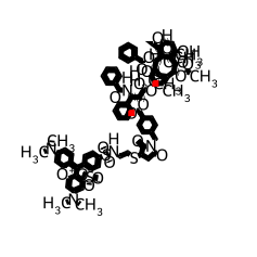 CC(=O)O[C@@H]1C(=O)[C@@]2(C)[C@H](O)C[C@@H]3OC[C@]3(OC(C)=O)[C@@H]2[C@@H](OC(=O)c2ccccc2)[C@@]2(O)C[C@@H](OC(=O)[C@@H](OC(=O)C3CCC(CN4C(=O)CC(SCCNS(=O)(=O)c5ccc(-c6c7ccc(N(C)C)cc7[o+]c7cc(N(C)C)ccc67)c(S(=O)(=O)[O-])c5)C4=O)CC3)[C@H](NC(=O)c3ccccc3)c3ccccc3)C(C)=C1C2(C)C